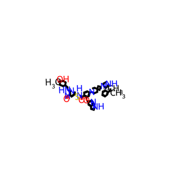 CC(C)c1ccccc1[C@@H]1CNCCN1C1CC2(CCN(c3ccc(C(=O)NSc4cnc(NCC5CCC(C)(O)CC5)c(N=O)c4)c(Oc4cnc5[nH]ccc5c4)c3)CC2)C1